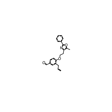 C=CCc1cc(C=O)ccc1OCCc1nc(-c2ccccc2)oc1C